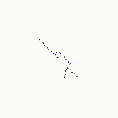 CCCCCCCCN1CCC(CCCN(C)CC(CCCC)CCCCC)CC1